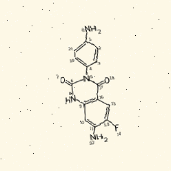 Nc1ccc(-n2c(=O)[nH]c3cc(N)c(F)cc3c2=O)cc1